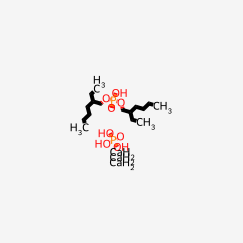 CCCCC(CC)COP(=O)(O)OCC(CC)CCCC.O=P(O)(O)O.[CaH2].[CaH2].[CaH2]